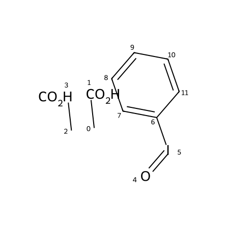 CC(=O)O.CC(=O)O.O=Ic1ccccc1